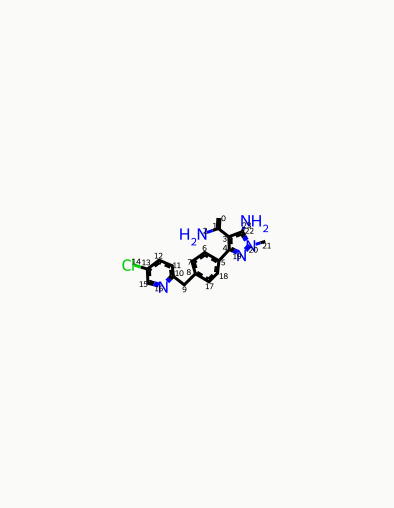 C=C(N)c1c(-c2ccc(Cc3ccc(Cl)cn3)cc2)nn(C)c1N